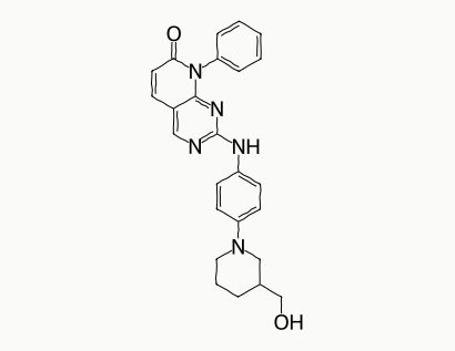 O=c1ccc2cnc(Nc3ccc(N4CCCC(CO)C4)cc3)nc2n1-c1ccccc1